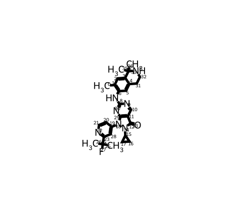 Cc1cc2c(cc1Nc1ncc3c(=O)n(C4CC4)n(-c4ccnc(C(C)(C)F)c4)c3n1)CCNC2(C)C